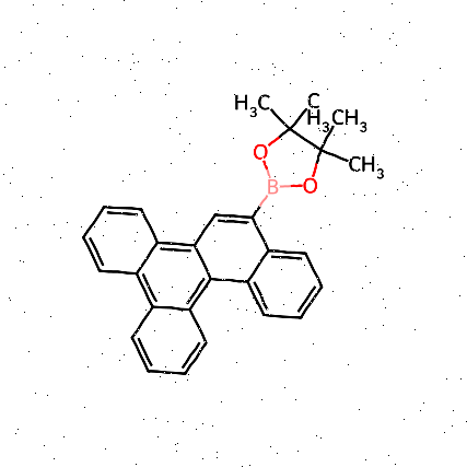 CC1(C)OB(c2cc3c4ccccc4c4ccccc4c3c3ccccc23)OC1(C)C